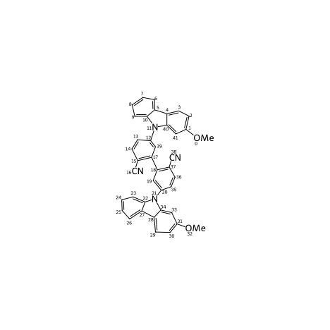 COc1ccc2c3ccccc3n(-c3ccc(C#N)c(-c4cc(-n5c6ccccc6c6ccc(OC)cc65)ccc4C#N)c3)c2c1